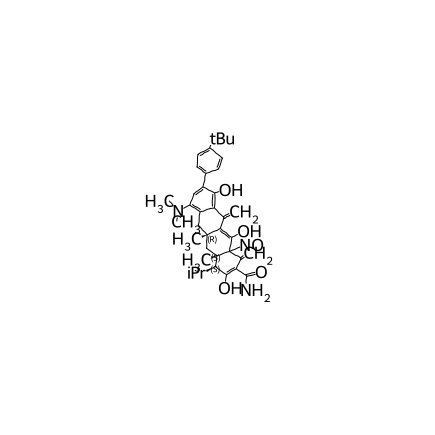 C=C1C2=C(O)C3(N=O)C(=C)C(C(N)=O)=C(O)[C@@H](C(C)C)[C@]3(C)C[C@]2(C)Cc2c(N(C)C)cc(-c3ccc(C(C)(C)C)cc3)c(O)c21